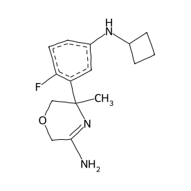 CC1(c2cc(NC3CCC3)ccc2F)COCC(N)=N1